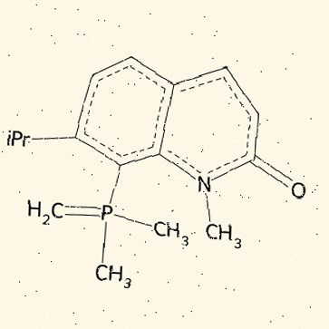 C=P(C)(C)c1c(C(C)C)ccc2ccc(=O)n(C)c12